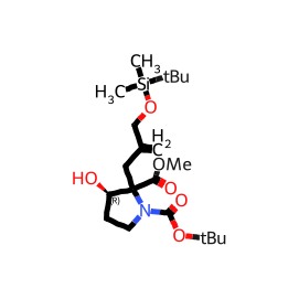 C=C(CO[Si](C)(C)C(C)(C)C)CC1(C(=O)OC)[C@H](O)CCN1C(=O)OC(C)(C)C